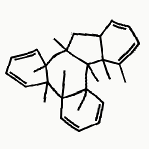 CC1=CC=CC2[C]C3(C)C4(C)C=CC=CC4(C)C4(C)C=CC=CC4(C)C3(C)C12C